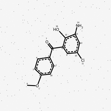 COc1ccc(C(=O)c2cc(Cl)cc(N)c2O)cc1